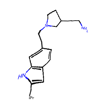 CC(C)c1cc2ccc(CN3CCC(CN)C3)cc2[nH]1